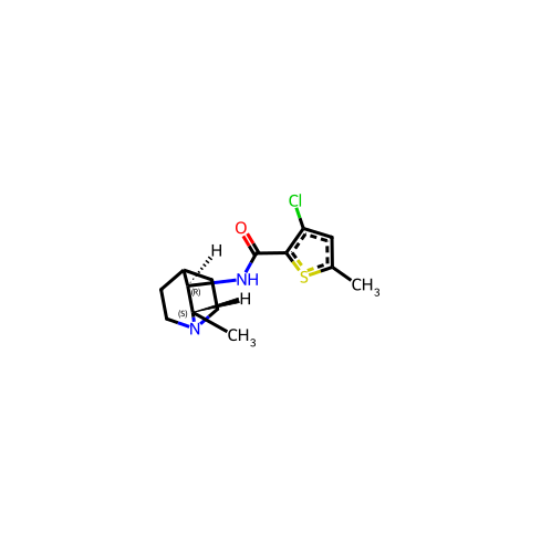 Cc1cc(Cl)c(C(=O)N[C@@H]2C3CCN(CC3)[C@H]2C)s1